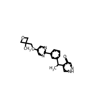 CC(c1cccc(-c2ncc(OCC3(C)COC3)cn2)c1)c1c[nH]ncc1=O